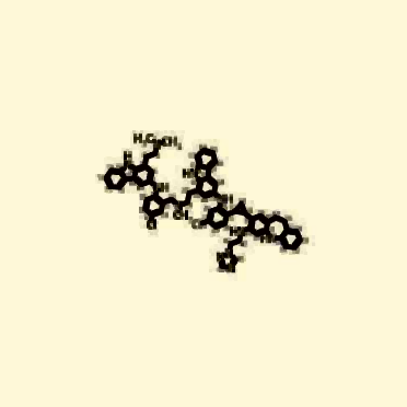 CN(C)CCc1cc(Nc2ccc(Cl)cc2CN(C)CCc2cc(Nc3cc(Cl)ccc3C3CC3c3cc4c(cc3NCCn3cncn3)Nc3ccccc3CC4)cc3c2[nH]c2ccccc23)cc2c1[nH]c1ccccc12